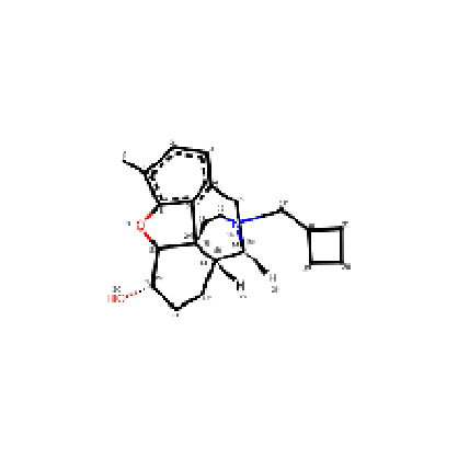 Cc1ccc2c3c1OC1[C@@H](O)CC[C@H]4[C@@H](C2)N(CC2CCC2)CC[C@]314